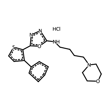 Cl.c1ccc(-c2ccsc2-c2nnc(NCCCCN3CCOCC3)o2)cc1